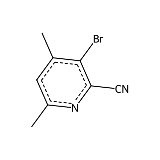 Cc1cc(C)c(Br)c(C#N)n1